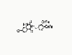 COc1ccc(CCn2c(=O)[nH]c3cc(Cl)ccc3c2=O)cc1OC